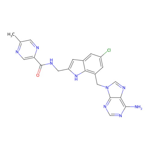 Cc1cnc(C(=O)NCc2cc3cc(Cl)cc(Cn4cnc5c(N)ncnc54)c3[nH]2)cn1